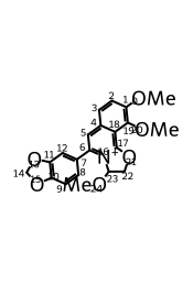 COc1ccc2cc(-c3ccc4c(c3)OCO4)[n+]3c(c2c1OC)OCC3OC